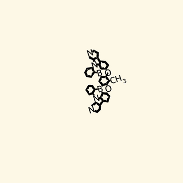 Cc1c2c(cc3c1Oc1ccc4c5ccncc5n5c4c1B3c1ccccc1-5)B1c3ccccc3-n3c4cnccc4c4ccc(c1c43)O2